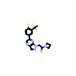 CC(F)(F)c1cc(-c2cnc3cnn(CC(=O)N4CCC4)c3n2)ccc1F